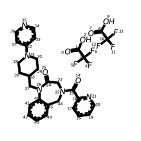 O=C(O)C(F)(F)F.O=C(O)C(F)(F)F.O=C(c1ccccn1)N1CC(=O)N(CC2CCN(c3ccncc3)CC2)c2ccccc2C1